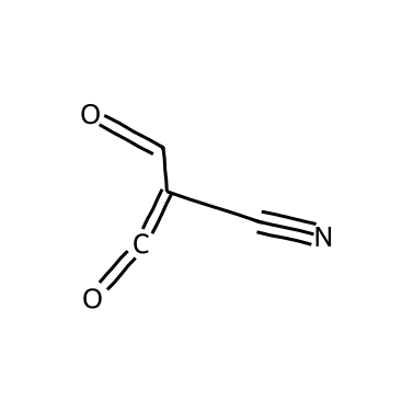 N#CC(=C=O)C=O